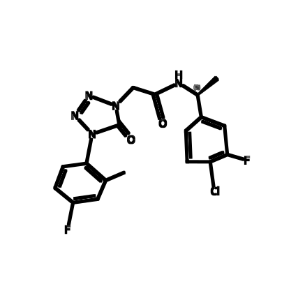 Cc1cc(F)ccc1-n1nnn(CC(=O)N[C@@H](C)c2ccc(Cl)c(F)c2)c1=O